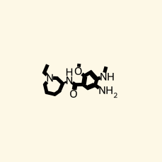 CCN1CCCC[C@H](NC(=O)c2cc(N)c(NC)cc2OC)C1